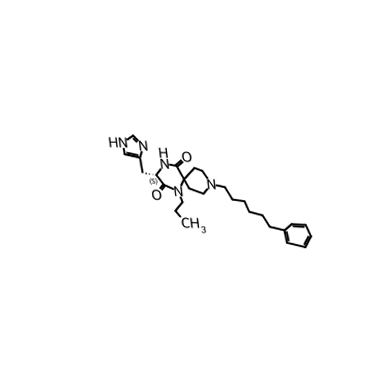 CCCN1C(=O)[C@H](Cc2c[nH]cn2)NC(=O)C12CCN(CCCCCCc1ccccc1)CC2